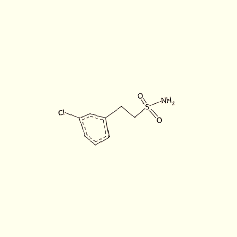 NS(=O)(=O)CCc1cccc(Cl)c1